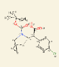 CC(C)(C)OC(=O)N1CC2(CC2)C[C@H]1[C@@H](C(=O)O)c1ccc(Cl)cc1